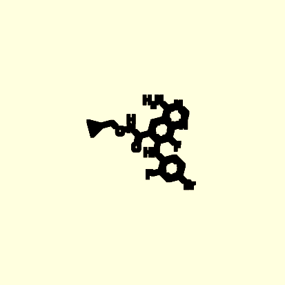 Nc1ncnc2c(F)c(Nc3ccc(Br)cc3F)c(C(=O)NOCC3CC3)cc12